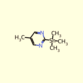 Cc1cn[c]([Sn]([CH3])([CH3])[CH3])nc1